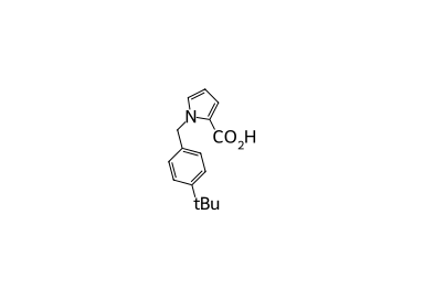 CC(C)(C)c1ccc(Cn2cccc2C(=O)O)cc1